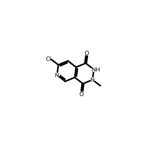 Cn1[nH]c(=O)c2cc(Cl)ncc2c1=O